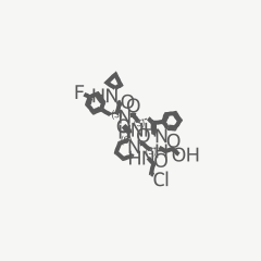 O=C(O)CC[C@H](NC(=O)CCl)C(=O)N1CCCC[C@H]1C(=O)N[C@@H](Cc1c[nH]c2ccccc12)C(=O)N[C@@H](Cc1ccc(F)cc1)C(=O)NC1CCC1